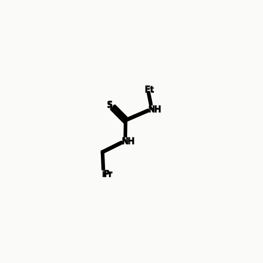 CCNC(=S)NCC(C)C